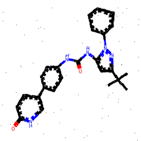 CC(C)(C)c1cc(NC(=O)Nc2ccc(-c3ccc(=O)[nH]c3)cc2)n(-c2ccccc2)n1